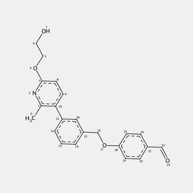 Cc1nc(OCCO)ccc1-c1cccc(COc2ccc(C=O)cc2)c1